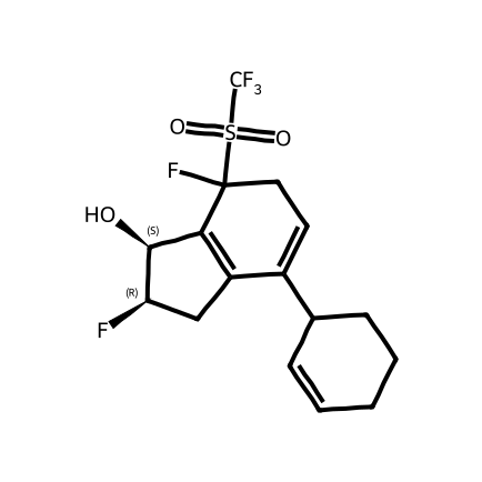 O=S(=O)(C(F)(F)F)C1(F)CC=C(C2C=CCCC2)C2=C1[C@H](O)[C@H](F)C2